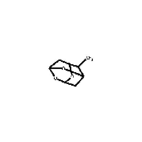 FC(F)(F)C1[C]2CC3OC(CC1O3)O2